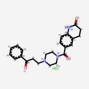 Cl.O=C1CCc2cc(C(=O)N3CCN(CCC(=O)c4ccccc4)CC3)ccc2N1